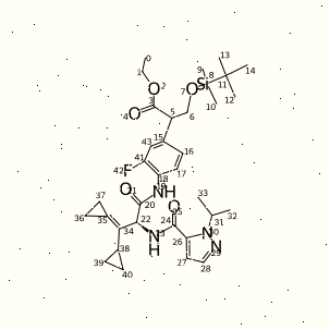 CCOC(=O)C(CO[Si](C)(C)C(C)(C)C)c1ccc(NC(=O)[C@@H](NC(=O)c2ccnn2C(C)C)C(=C2CC2)C2CC2)c(F)c1